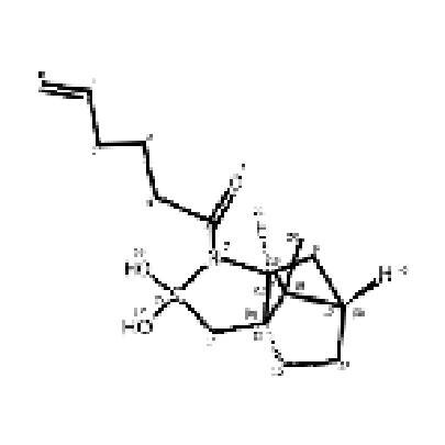 C=CCCCC(=O)N1[C@H]2C[C@@H]3CC[C@@]2(CS1(O)O)C3(C)C